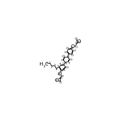 CCCCCc1cc(C2C=CC(c3ccc(OCC4CO4)cc3)C=C2)ccc1OCC1CO1